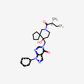 C[C@H](CC(F)(F)F)C(=O)N1CCC(O)(Cn2cnc3c(cnn3-c3ccccc3)c2=O)C2(CCCC2)C1